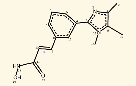 Cc1nc(-c2cccc(/C=C/C(=O)NO)c2)n(C)c1C